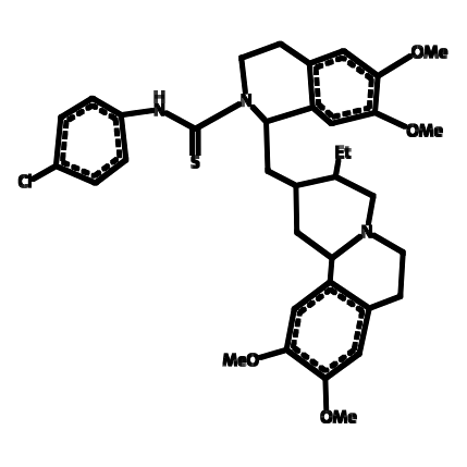 CCC1CN2CCc3cc(OC)c(OC)cc3C2CC1CC1c2cc(OC)c(OC)cc2CCN1C(=S)Nc1ccc(Cl)cc1